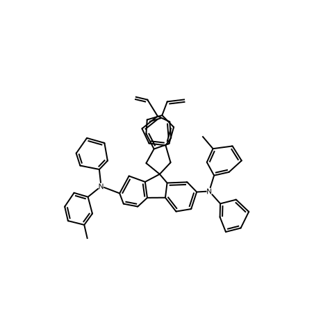 C=Cc1ccc(CC2(Cc3ccc(C=C)cc3)c3cc(N(c4ccccc4)c4cccc(C)c4)ccc3-c3ccc(N(c4ccccc4)c4cccc(C)c4)cc32)cc1